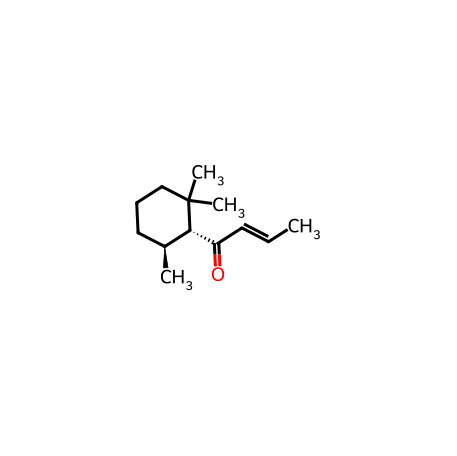 CC=CC(=O)[C@@H]1[C@@H](C)CCCC1(C)C